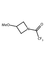 COC1CN(C(=O)C(F)(F)F)C1